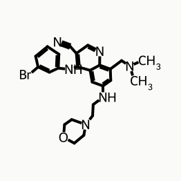 CN(C)Cc1cc(NCCN2CCOCC2)cc2c(Nc3cccc(Br)c3)c(C#N)cnc12